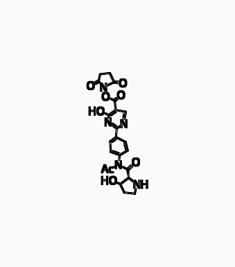 CC(=O)N(C(=O)[C@H]1NCCC1O)c1ccc(-c2ncc(C(=O)ON3C(=O)CCC3=O)c(O)n2)cc1